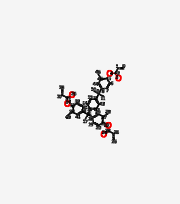 C=CC(=O)Oc1ccc(C(C)(C)c2ccc(C(C)(c3ccc(OC(=O)C=C)c(C)c3)c3ccc(OC(=O)C=C)c(C)c3)cc2)cc1C